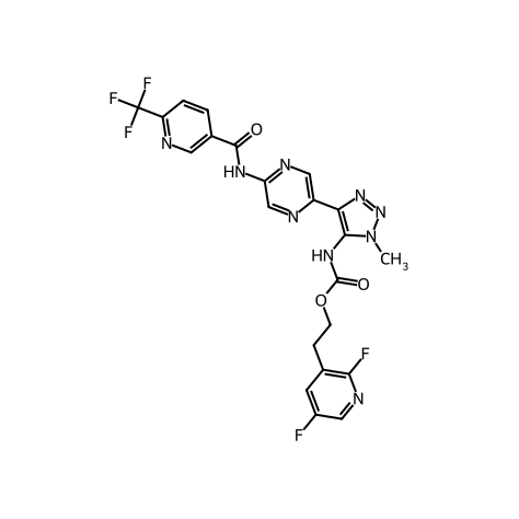 Cn1nnc(-c2cnc(NC(=O)c3ccc(C(F)(F)F)nc3)cn2)c1NC(=O)OCCc1cc(F)cnc1F